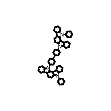 c1ccc(-n2c3ccccc3c3c2ccc2c4ccccc4n(-c4ccc(-c5ccc(-n6c7ccccc7c7c6ccc6c8ccccc8n(-c8ccccc8)c67)cc5)cc4)c23)cc1